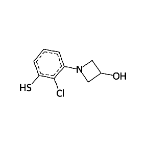 OC1CN(c2cccc(S)c2Cl)C1